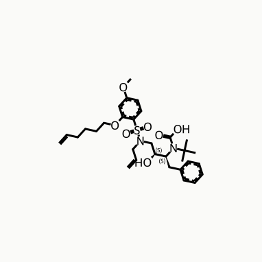 C=CCCCCOc1cc(OC)ccc1S(=O)(=O)N(CC=C)C[C@H](O)[C@H](Cc1ccccc1)N(C(=O)O)C(C)(C)C